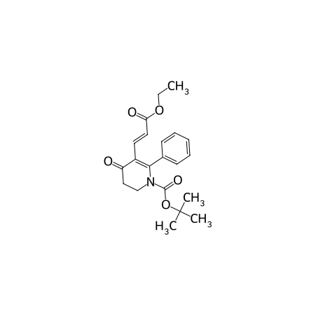 CCOC(=O)C=CC1=C(c2ccccc2)N(C(=O)OC(C)(C)C)CCC1=O